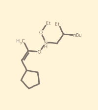 CCCCC(CC)C[SiH](OCC)OC(C)=CC1CCCC1